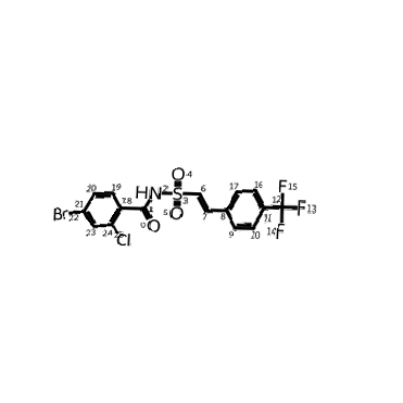 O=C(NS(=O)(=O)/C=C/c1ccc(C(F)(F)F)cc1)c1ccc(Br)cc1Cl